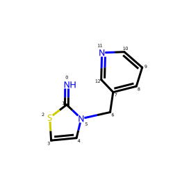 N=c1sccn1Cc1cccnc1